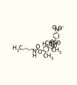 CCCCCNC(=O)Oc1cc(C)c(S(C)(C)OS(=O)(=O)c2ccc([N+](=O)[O-])cc2)cc1C